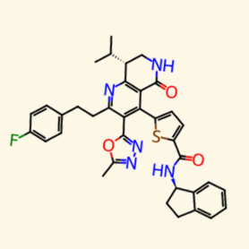 Cc1nnc(-c2c(CCc3ccc(F)cc3)nc3c(c2-c2ccc(C(=O)N[C@@H]4CCc5ccccc54)s2)C(=O)NC[C@H]3C(C)C)o1